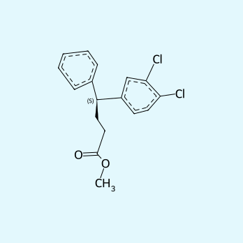 COC(=O)CC[C@@H](c1ccccc1)c1ccc(Cl)c(Cl)c1